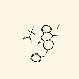 O=C(O)C(F)(F)F.O=C1c2c(CF)cccc2C[C@@H]2CN(Cc3ccccc3)CCN12